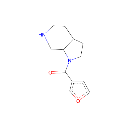 O=C(c1ccoc1)N1CCC2CCNCC21